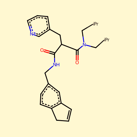 CC(C)CN(CC(C)C)C(=O)C(Cc1cccnc1)C(=O)NCc1ccc2c(c1)C=CC2